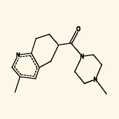 Cc1cnc2c(c1)CC(C(=O)N1CCN(C)CC1)CC2